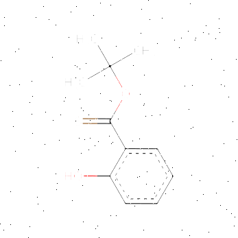 CC(C)(C)OC(=S)c1ccccc1O